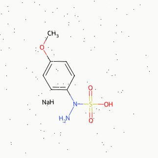 COc1ccc(N(N)S(=O)(=O)O)cc1.[NaH]